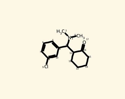 CN(C)C(c1cccc(Cl)c1)C1CCCCC1=O